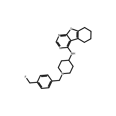 FCc1ccc(CN2CCC(Nc3ncnc4sc5c(c34)CCCC5)CC2)cc1